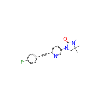 CN1C(=O)N(c2ccc(C#Cc3ccc(F)cc3)nc2)CC1(C)C